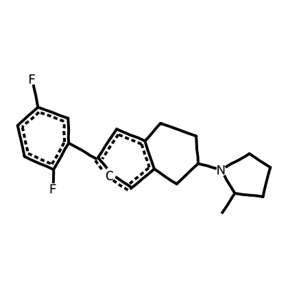 CC1CCCN1C1CCc2cc(-c3cc(F)ccc3F)ccc2C1